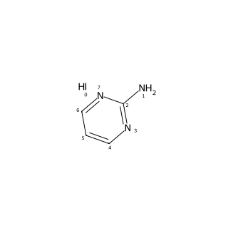 I.Nc1ncccn1